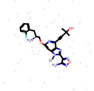 CCn1c(-c2nonc2N)nc2c(C#CC(C)(C)O)nc(OC[C@@H](N)Cc3ccccc3F)cc21